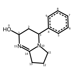 OC1CC(c2ccccc2)N2CCCC2=N1